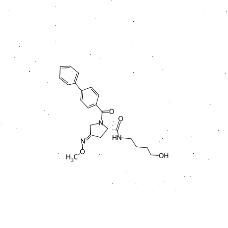 CO/N=C1\C[C@@H](C(=O)NCCCCO)N(C(=O)c2ccc(-c3ccccc3)cc2)C1